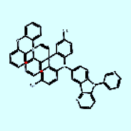 Cc1ccc2c(c1)C1(c3cc(C)ccc3N2c2ccc3c(c2)c2ncccc2n3-c2cccnc2)c2ccccc2[Si]2(c3ccccc3Oc3ccccc32)c2ccccc21